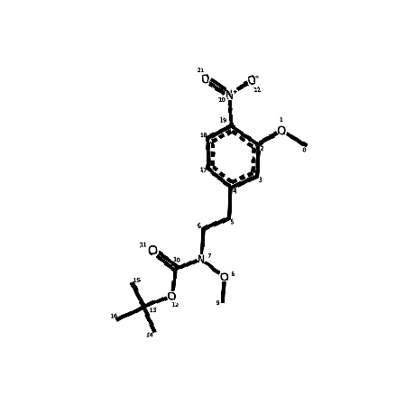 COc1cc(CCN(OC)C(=O)OC(C)(C)C)ccc1[N+](=O)[O-]